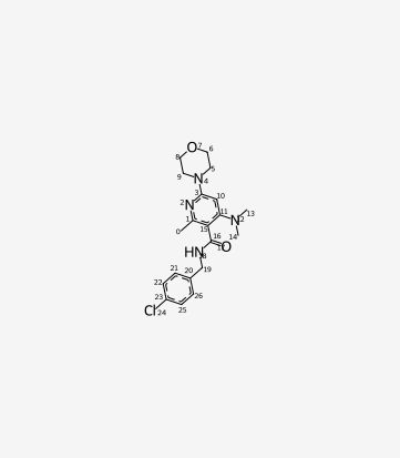 Cc1nc(N2CCOCC2)cc(N(C)C)c1C(=O)NCc1ccc(Cl)cc1